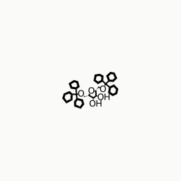 O[C@H]1[C@H](O)[C@@H](COC(c2ccccc2)(c2ccccc2)c2ccccc2)O[C@H]1COC(c1ccccc1)(c1ccccc1)c1ccccc1